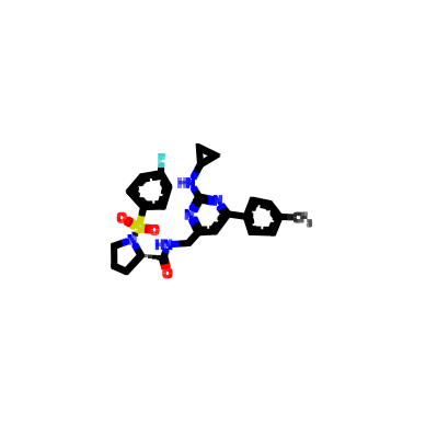 O=C(NCc1cc(-c2ccc(C(F)(F)F)cc2)nc(NC2CC2)n1)[C@@H]1CCCN1S(=O)(=O)c1ccc(F)cc1